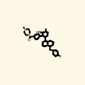 Cc1ccc(-c2cccc3c(Cc4ccc(F)cc4)cccc23)c2c1[nH]c1cc(C(=O)N3CCN(C)CC3)ccc12